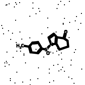 Cc1ccc([S+]([O-])n2ccc3c2CCCC3=O)cc1